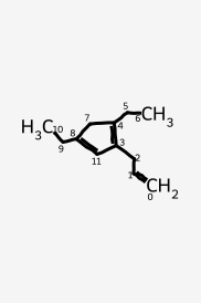 C=CCC1=C(CC)CC(CC)=C1